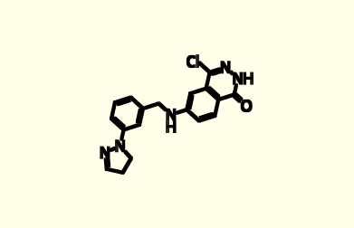 O=c1[nH]nc(Cl)c2cc(NCc3cccc(N4CCC=N4)c3)ccc12